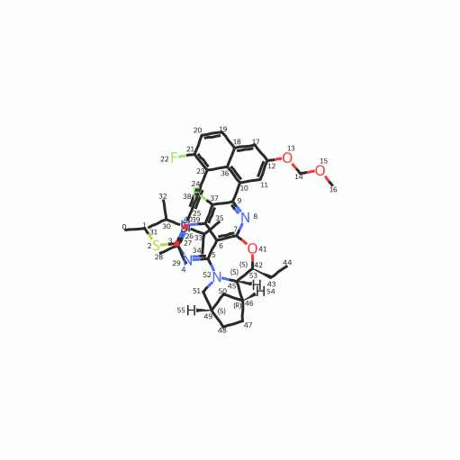 CCSc1nc2c3c(nc(-c4cc(OCOC)cc5ccc(F)c(C#C[Si](C(C)C)(C(C)C)C(C)C)c45)c(F)c3n1)O[C@@H](CC)[C@@H]1[C@@H]3CC[C@@H](C3)CN21